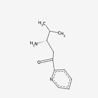 CC(C)[C@@H](N)CC(=O)c1ccccn1